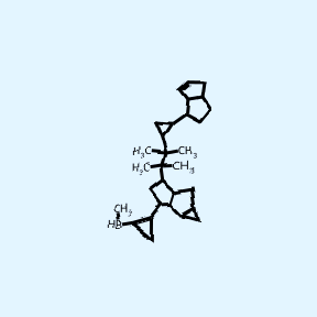 CBC1CC1C1CC(C(C)(C)C(C)(C)C2CC2C2CCC3CC=CC32)C2CC3CC3C12